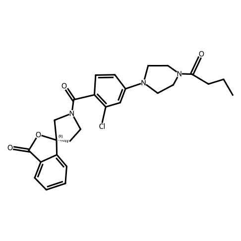 CCCC(=O)N1CCN(c2ccc(C(=O)N3CC[C@@]4(C3)OC(=O)c3ccccc34)c(Cl)c2)CC1